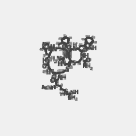 CC(=O)N[C@@H](CCCNC(=N)N)C(=O)N[C@H]1CSCC2(CNC(=N)N)C[C@H](NC(=O)[C@@H](Cc3ccccc3)NC(=O)[C@H](Cc3cnc[nH]3)NC(=O)[C@@H](C)NC1=O)C(=O)N[C@@H](Cc1c[nH]c3ccccc13)C(=O)N[C@H](C(N)=O)CS2